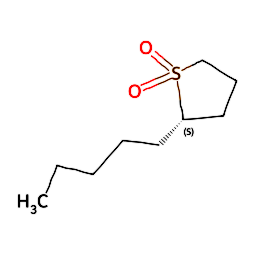 CCCCC[C@H]1CCCS1(=O)=O